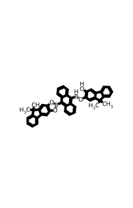 CC1(C)c2ccccc2-c2cc(O)c(OBc3c4ccccc4c(B4Oc5cc6c(cc5O4)C(C)(C)c4ccccc4-6)c4ccccc34)cc21